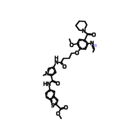 C/C=N\c1cc(OCCCC(=O)Nc2cc(C(=O)Nc3ccc4sc(C(=O)OC)cc4c3)n(C)c2)c(OC)cc1C(=O)N1CCCCC1